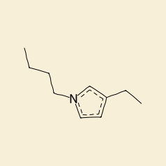 CCCCn1ccc(CC)c1